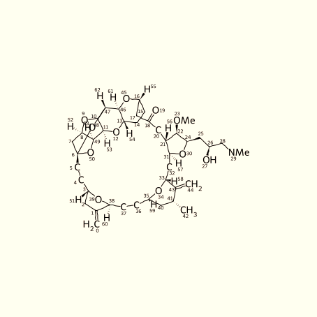 C=C1C[C@@H]2CC[C@@]34C[C@H]5OC6[C@@H](O[C@H]7CC[C@H](CC(=O)C[C@@H]8[C@@H](OC)[C@@H](C[C@H](O)CNC)O[C@H]8C[C@H]8O[C@@H](CC[C@@H]1O2)C[C@@H](C)C8=C)O[C@@H]7[C@@H]6O3)[C@H]5O4